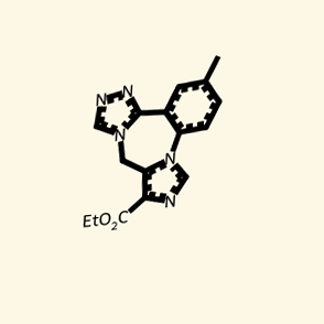 CCOC(=O)c1ncn2c1Cn1cnnc1-c1cc(C)ccc1-2